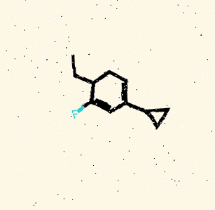 CCC1CC=C(C2CC2)C=C1F